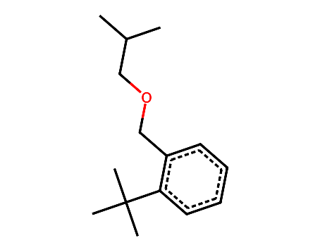 CC(C)COCc1ccccc1C(C)(C)C